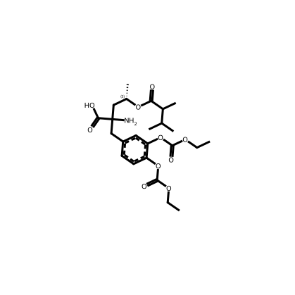 CCOC(=O)Oc1ccc(CC(N)(C[C@H](C)OC(=O)C(C)C(C)C)C(=O)O)cc1OC(=O)OCC